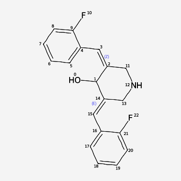 OC1/C(=C\c2ccccc2F)CNC/C1=C\c1ccccc1F